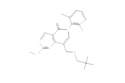 CSc1ncc2c(=O)n(-c3c(Cl)cccc3Cl)cc(CNCC(F)(F)F)c2n1